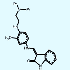 CC(C)N(CCNc1ccc(NC=C2C(=O)Nc3ccccc32)cc1C(F)(F)F)C(C)C